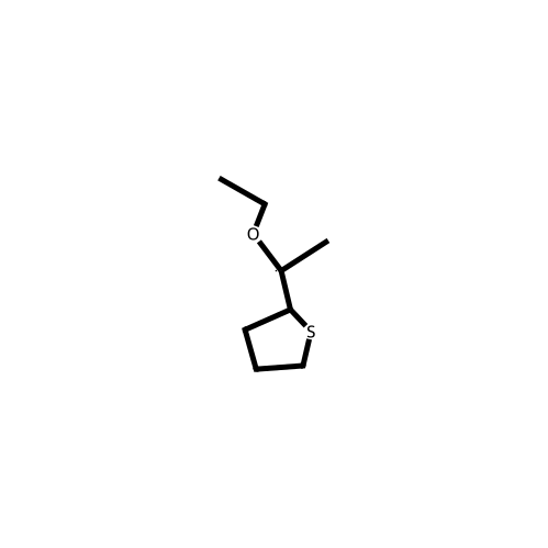 CCO[C](C)C1CCCS1